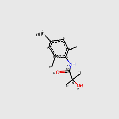 Cc1cc(C=O)cc(C)c1NC(=O)C(C)(C)O